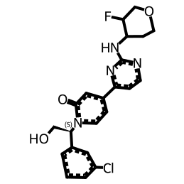 O=c1cc(-c2ccnc(NC3CCOCC3F)n2)ccn1[C@H](CO)c1cccc(Cl)c1